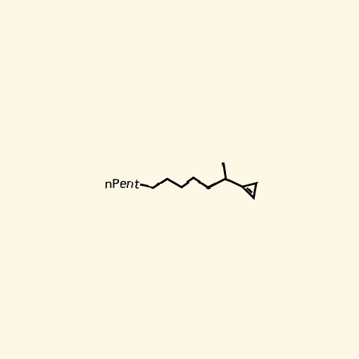 CCCCCCCCCCC(C)C1=CC1